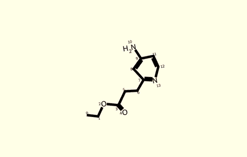 CCOC(=O)CCc1cc(N)ccn1